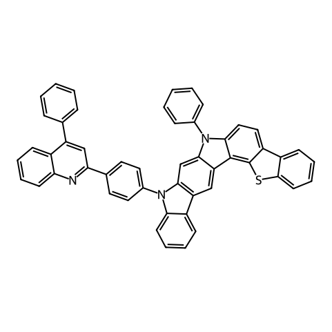 c1ccc(-c2cc(-c3ccc(-n4c5ccccc5c5cc6c7c8sc9ccccc9c8ccc7n(-c7ccccc7)c6cc54)cc3)nc3ccccc23)cc1